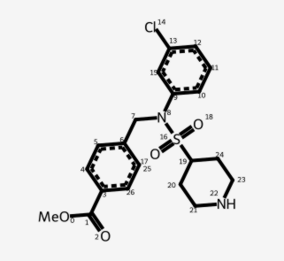 COC(=O)c1ccc(CN(c2cccc(Cl)c2)S(=O)(=O)C2CCNCC2)cc1